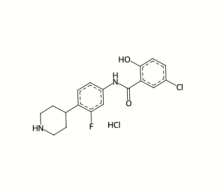 Cl.O=C(Nc1ccc(C2CCNCC2)c(F)c1)c1cc(Cl)ccc1O